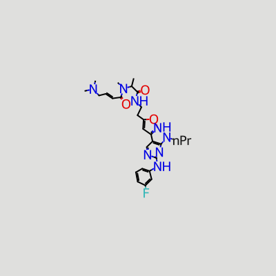 CCCNc1nc(Nc2cccc(F)c2)ncc1-c1cc(CCNC(=O)C(C)N(C)C(=O)/C=C/CN(C)C)on1